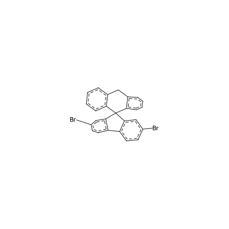 Brc1ccc2c(c1)C1(c3ccccc3Cc3ccccc31)c1cc(Br)ccc1-2